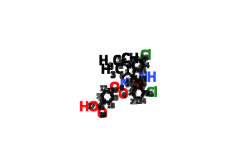 CC(C)(C)C[C@@H]1CN(C(=O)Oc2ccc(C(=O)O)cc2)[C@H](c2cccc(Cl)c2F)C12C(=O)Nc1cc(Cl)ccc12